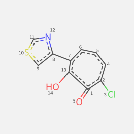 O=c1c(Cl)cccc(-c2cscn2)c1O